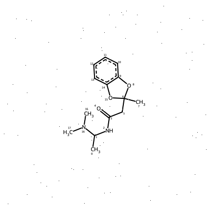 CC(NC(=O)CC1(C)Oc2ccccc2O1)N(C)C